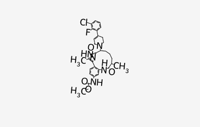 COC(=O)Nc1ccc2c(c1)NC(=O)C(C)CCCC(N1CCC(c3cccc(Cl)c3F)=CC1=O)c1nc-2c(C)[nH]1